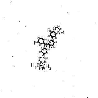 CC(C)(C)N1CCN(c2ccc(N(c3cccc(F)c3)c3nccc(-c4cc(F)c5c(c4)NCCO5)n3)nc2)CC1